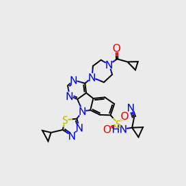 N#CC1(NS(=O)(=O)c2ccc3c4c(N5CCN(C(=O)C6CC6)CC5)ncnc4n(-c4nnc(C5CC5)s4)c3c2)CC1